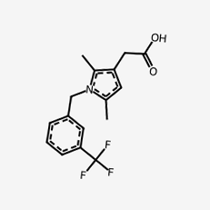 Cc1cc(CC(=O)O)c(C)n1Cc1cccc(C(F)(F)F)c1